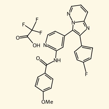 COc1ccc(C(=O)Nc2cc(-c3c(-c4ccc(F)cc4)nc4cccnn34)ccn2)cc1.O=C(O)C(F)(F)F